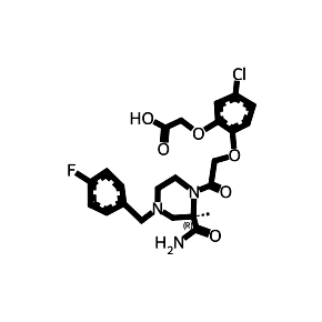 C[C@]1(C(N)=O)CN(Cc2ccc(F)cc2)CCN1C(=O)COc1ccc(Cl)cc1OCC(=O)O